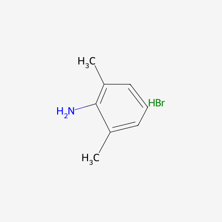 Br.Cc1cccc(C)c1N